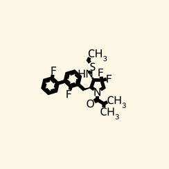 CCSN[C@@H]1[C@H](Cc2cccc(-c3ccccc3F)c2F)N(C(=O)C(C)C)CC1(F)F